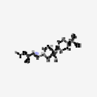 CCOC(=O)/C=C/c1cnc(N2CCN(C(=O)O)CC2)c(C)c1